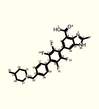 Cc1nc2c(C(=O)O)cc(-c3c(F)c(F)c(-c4ccc(CN5CCC(C)CC5)cc4)c(F)c3F)cc2[nH]1